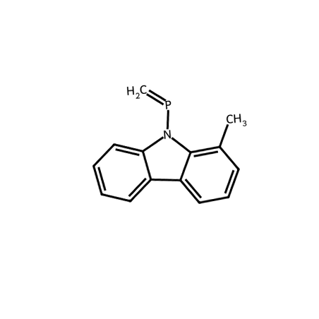 C=Pn1c2ccccc2c2cccc(C)c21